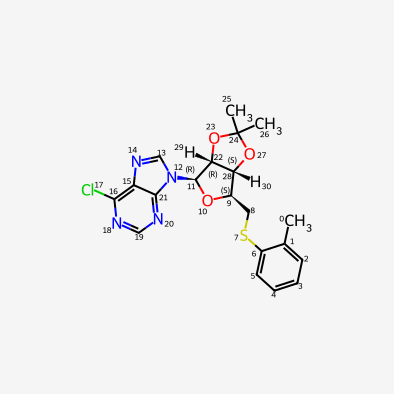 Cc1ccccc1SC[C@H]1O[C@@H](n2cnc3c(Cl)ncnc32)[C@@H]2OC(C)(C)O[C@@H]21